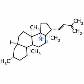 C=C(C)/C=C/[C@H]1CC[C@]2(N)[C@]3(C)CC[C@@H]4C[C@@H](C)CC[C@]4(C)C3CC[C@]12C